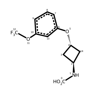 O=C(O)N[C@H]1C[C@H](Oc2cccc(OC(F)(F)F)c2)C1